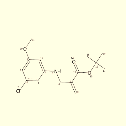 C=C(CNc1cc(Cl)cc(OC)c1)C(=O)OC(C)(C)C